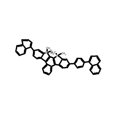 C[Si]1(C)c2cc(-c3ccc(-c4cccc5ccccc45)cc3)ccc2-c2c1c1c(c3ccccc23)-c2ccc(-c3cccc4ccccc34)cc2[Si]1(C)C